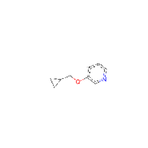 [c]1ccncc1OCC1CC1